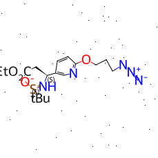 CCOC(=O)C[C@H](N[S@+]([O-])C(C)(C)C)c1ccc(OCCCN=[N+]=[N-])nc1